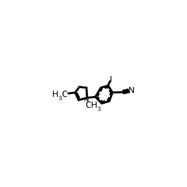 CC1=C[C@](C)(c2ccc(C#N)c(I)c2)CC1